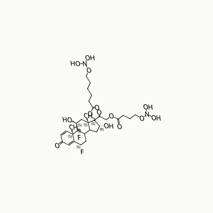 C[C@]12C=CC(=O)C=C1[C@@H](F)CC1C3C[C@@H](O)[C@](OC(=O)CCCCCON(O)O)(C(=O)COC(=O)CCCON(O)O)[C@@]3(C)C[C@H](O)[C@@]12F